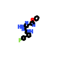 Fc1ccc(-c2cccc3[nH]c(-c4n[nH]c5cnc(-c6cncc(OC7CCCCC7)c6)cc45)cc23)cc1